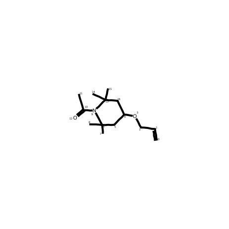 C=CCOC1CC(C)(C)N(C(C)=O)C(C)(C)C1